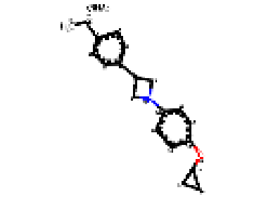 CC(=O)N[C@@H](C)c1ccc(C2CN(c3ccc(OC4CC4)cc3)C2)cc1